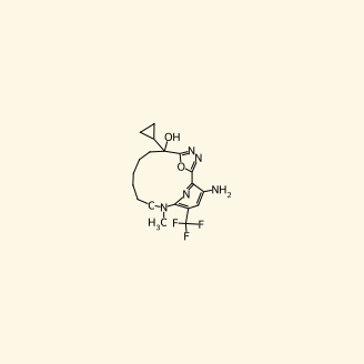 CN1CCCCCCC(O)(C2CC2)c2nnc(o2)-c2nc1c(C(F)(F)F)cc2N